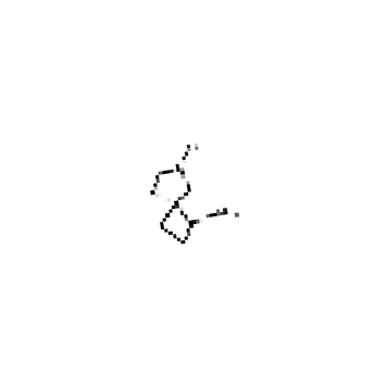 CC(C)(C)N1CC[C@]2(CC[C@@H]2N)C1